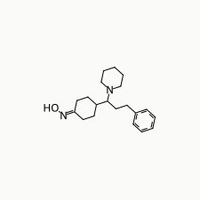 ON=C1CCC(C(CCc2ccccc2)N2CCCCC2)CC1